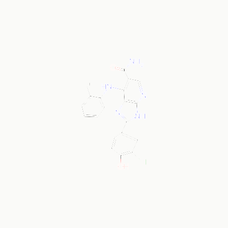 CCc1ccccc1Nc1c(C(N)=O)cnc2[nH]c(-c3ccc(O)c(Cl)c3)nc12